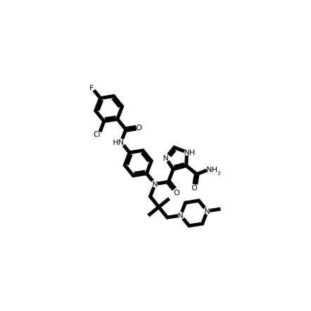 CN1CCN(CC(C)(C)CN(C(=O)c2nc[nH]c2C(N)=O)c2ccc(NC(=O)c3ccc(F)cc3Cl)cc2)CC1